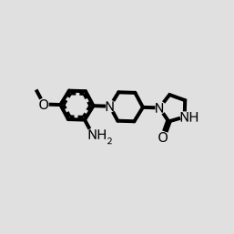 COc1ccc(N2CCC(N3CCNC3=O)CC2)c(N)c1